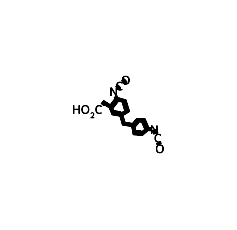 O=C=Nc1ccc(Cc2ccc(N=C=O)c(CC(=O)O)c2)cc1